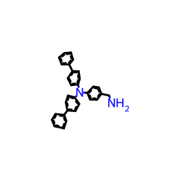 NCc1ccc(N(c2ccc(-c3ccccc3)cc2)c2ccc(-c3ccccc3)cc2)cc1